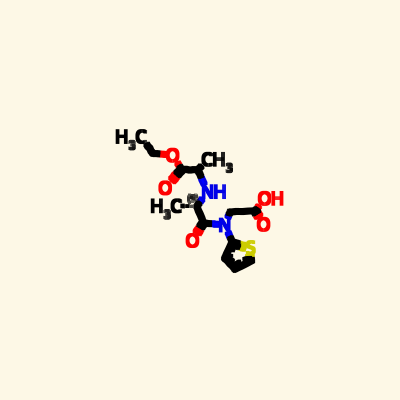 CCOC(=O)C(C)N[C@@H](C)C(=O)N(CC(=O)O)c1cccs1